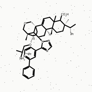 CC(C)[C@@H](C)[C@@]1(C)CC[C@]2(C)[C@H]3CC[C@@H]4[C@@]5(COC[C@@]4(C)[C@@H](OC[C@](C)(N)C(C)C)[C@H](n4ncnc4-c4ccnc(-c6ccccc6)c4)C5)C3=CCC2(C)C1C(=O)O